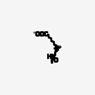 C=CC(=O)NCCC[N+](C)(C)CCCCCCCC(=O)[O-]